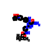 CC(C)(C)OC(=O)N[C@@H]1CCCN(c2nnc(C(N)=O)c(Nc3ccc(C4CC[N+](O)(C5CCCC5)CC4)cc3)n2)C1